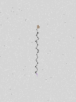 BrCC=CCCCCCCCCCCCCI